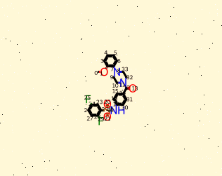 COc1ccccc1N1CCN(C(=O)c2ccc(NS(=O)(=O)c3cc(F)ccc3F)cc2)CC1